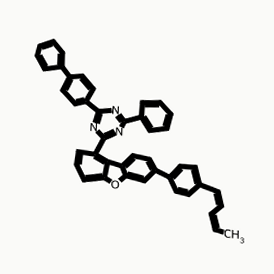 C/C=C\C=C/c1ccc(-c2ccc3c(c2)oc2cccc(-c4nc(-c5ccccc5)nc(-c5ccc(-c6ccccc6)cc5)n4)c23)cc1